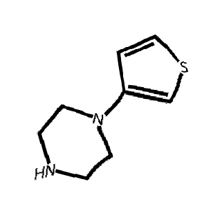 c1cc(N2CCNCC2)cs1